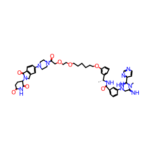 C[C@@H](NC(=O)c1cccc(NCC(=N)N(C)C(=N)c2ccncn2)c1)c1cccc(OCCCCCCOCCOCC(=O)N2CCN(c3ccc4c(c3)CN(C3CCC(=O)NC3=O)C4=O)CC2)c1